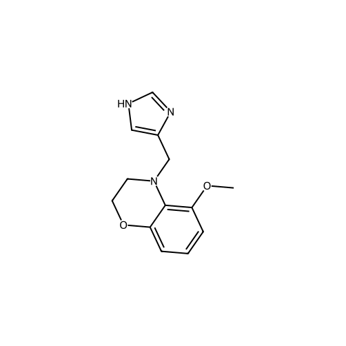 COc1cccc2c1N(Cc1c[nH]cn1)CCO2